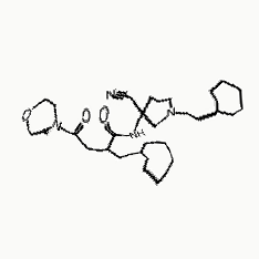 N#CC1(NC(=O)C(CC(=O)N2CCOCC2)CC2CCCCC2)CCN(CC2CCCCC2)C1